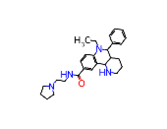 CCN1c2ccc(C(=O)NCCN3CCCC3)cc2C2NCCCC2C1c1ccccc1